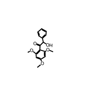 COc1cc(OC)c(C(=O)C(O)c2ccccc2)c(OC)c1